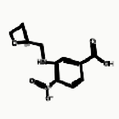 O=C(O)c1ccc([N+](=O)[O-])c(NC[C@@H]2CCO2)c1